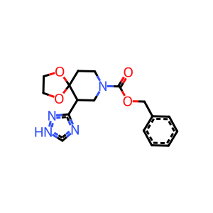 O=C(OCc1ccccc1)N1CCC2(OCCO2)C(c2nc[nH]n2)C1